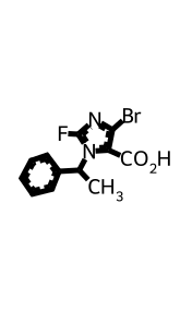 CC(c1ccccc1)n1c(F)nc(Br)c1C(=O)O